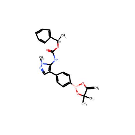 C=C1OB(c2ccc(-c3cnn(C)c3NC(=O)O[C@H](C)c3ccccc3)cc2)OC1(C)C